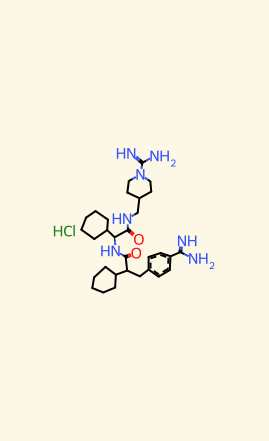 Cl.N=C(N)c1ccc(CC(C(=O)N[C@H](C(=O)NCC2CCN(C(=N)N)CC2)C2CCCCC2)C2CCCCC2)cc1